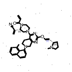 C=CC(=O)N1CCN(c2nc(O/C=C/[C@@H]3CCCN3C)nc3c2CCN(c2cccc4cccc(C)c24)C3)C[C@@H]1C(=C)C#N